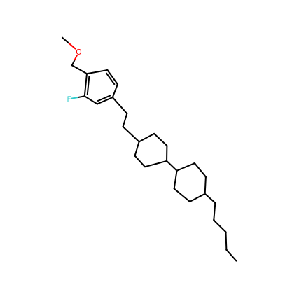 CCCCCC1CCC(C2CCC(CCc3ccc(COC)c(F)c3)CC2)CC1